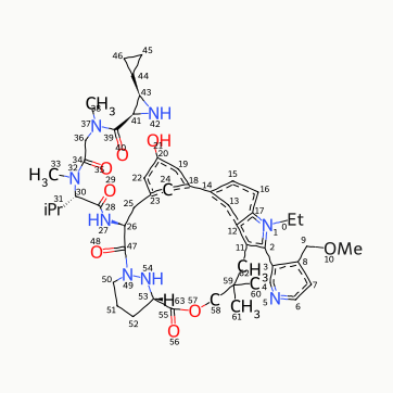 CCn1c(-c2cnccc2COC)c2c3cc(ccc31)-c1cc(O)cc(c1)C[C@H](NC(=O)[C@H](C(C)C)N(C)C(=O)CN(C)C(=O)[C@@H]1N[C@@H]1C1CC1)C(=O)N1CCC[C@H](N1)C(=O)OCC(C)(C)C2